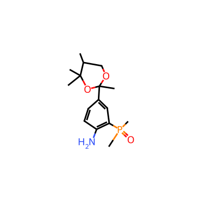 CC1COC(C)(c2ccc(N)c(P(C)(C)=O)c2)OC1(C)C